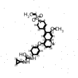 C=CS(=O)(=O)N1CC=C(c2cc3c(OC4=CCC(NC(O)NC5CC5)C=C4)ccnc3cc2OC)CC1